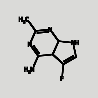 CC1=NC2NC=C(F)C2C(N)=N1